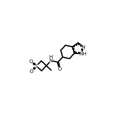 CC1(NC(=O)C2CCc3cn[nH]c3C2)CS(=O)(=O)C1